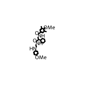 COc1ccc(NCCNC(=O)C(CNC(=O)c2cc(C)c(OC)c(C)c2)C2CCCCC2)cc1